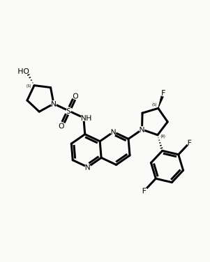 O=S(=O)(Nc1ccnc2ccc(N3C[C@@H](F)C[C@@H]3c3cc(F)ccc3F)nc12)N1CC[C@H](O)C1